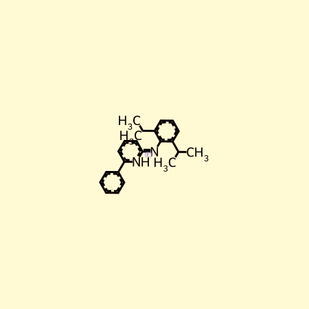 CC(C)c1cccc(C(C)C)c1/N=c1\cccc(-c2ccccc2)[nH]1